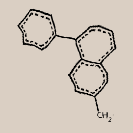 [CH2]c1ccc2c(-c3ccccc3)cccc2c1